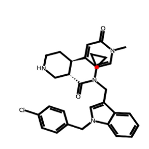 Cn1ccc([C@@H]2CCNC[C@H]2C(=O)N(Cc2cn(Cc3ccc(Cl)cc3)c3ccccc23)C2CC2)cc1=O